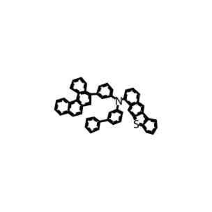 c1ccc(-c2cccc(N(c3cccc(-c4cc5ccc6ccccc6c5c5ccccc45)c3)c3cccc4cc5c(cc34)sc3ccccc35)c2)cc1